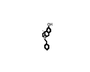 CC1C2Cc3ccc(O)cc3[C@]1(C)CCN2CCc1ccccc1